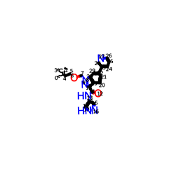 C[Si](C)(C)CCOCn1nc(C(=O)Nc2cn[nH]c2)c2ccc(-c3cccnc3)cc21